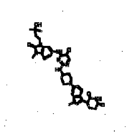 Cn1cc(C2CCC(=O)NC2=O)c2ccc(N3CCC(Nc4ncc(Cl)c(Nc5ccc6c(c5)n(CCC(C)(C)O)c(=O)n6C)n4)CC3)cc21